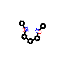 c1ccc(-c2nnc(-c3cccc(-c4cccc(-c5cccc(-c6nnc(-c7ccccc7)o6)c5)c4)c3)o2)cc1